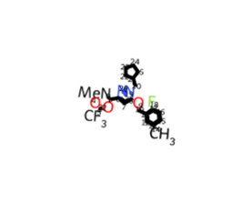 CNC(OC(=O)C(F)(F)F)c1cc(OCc2cc(C)ccc2F)n(CC2CCCC2)n1